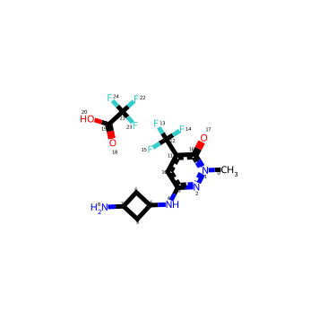 Cn1nc(NC2CC(N)C2)cc(C(F)(F)F)c1=O.O=C(O)C(F)(F)F